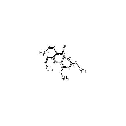 C/C=C\c1sc2c(CC)cc(CC)cc2c(=O)c1/C=C\C